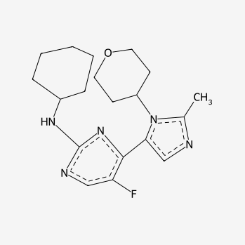 Cc1ncc(-c2nc(NC3CCCCC3)ncc2F)n1C1CCOCC1